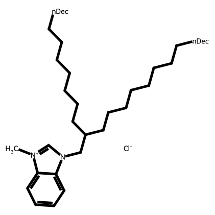 CCCCCCCCCCCCCCCCCCC(CCCCCCCCCCCCCCCCC)Cn1c[n+](C)c2ccccc21.[Cl-]